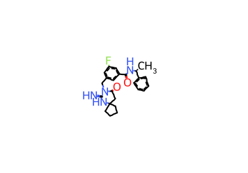 C[C@H](NC(=O)c1cc(F)cc(CN2C(=N)NC3(CCCC3)CC2=O)c1)c1ccccc1